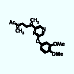 COc1ccc(Oc2cncc(N(C)CCN(C)C(C)=O)n2)cc1OC